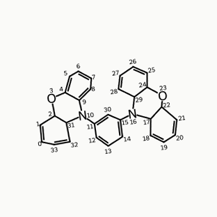 C1=CC2Oc3ccccc3N(c3cccc(N4C5C=CC=CC5OC5C=CC=CC54)c3)C2C=C1